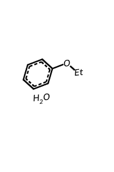 CCOc1ccccc1.O